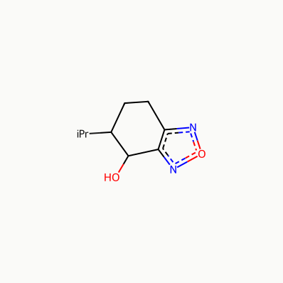 CC(C)C1CCc2nonc2C1O